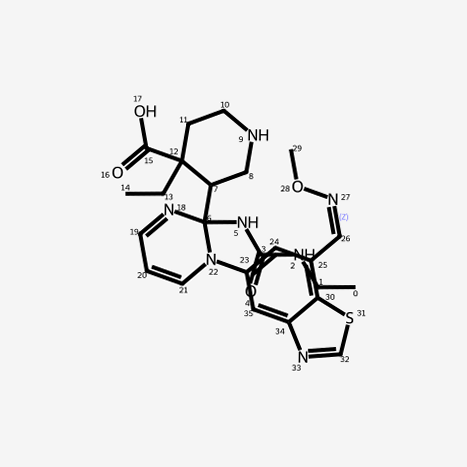 CCNC(=O)NC1(C2CNCCC2(CC)C(=O)O)N=CC=CN1c1cc(/C=N\OC)c2scnc2c1